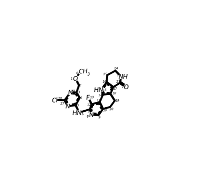 COCc1cc(Nc2ncc3c(c2F)-c2[nH]c4c(c2CC3)C(=O)NCC4)nc(Cl)n1